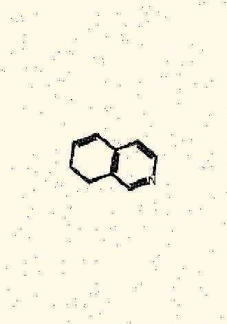 C1=Cc2ccncc2CC1